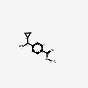 COC(=O)c1ccc(C(N)C2CC2)cc1